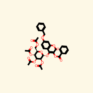 CC(=O)OC[C@H]1O[C@H](Oc2c(OC(=O)c3ccccc3)c(=O)oc3cc(OCc4ccccc4)ccc23)[C@@H](OC(C)=O)[C@@H](OC(C)=O)[C@@H]1OC(C)=O